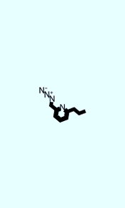 CCCc1cccc(CN=[N+]=[N-])n1